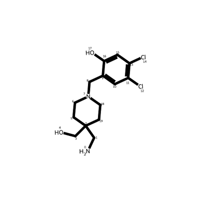 NCC1(CO)CCN(Cc2cc(Cl)c(Cl)cc2O)CC1